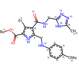 CCc1c(C(=O)OC(C)(C)C)[nH]c(CNc2ccc(OC)cc2)c1C(=O)NCC1=[N+]N=C(C)N1